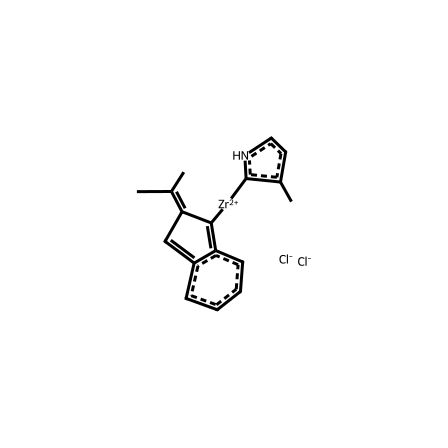 CC(C)=C1C=c2ccccc2=[C]1[Zr+2][c]1[nH]ccc1C.[Cl-].[Cl-]